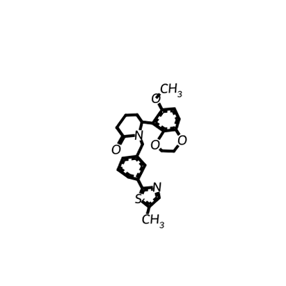 COc1ccc2c(c1C1CCCC(=O)N1Cc1cccc(-c3ncc(C)s3)c1)OCCO2